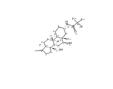 C=C1CC[C@H]2[C@@H]3[C@@H](O)[C@H](O)[C@H]4C[C@@H](NC(=O)C(F)(F)F)CC[C@]4(C)[C@H]3CC[C@]12C